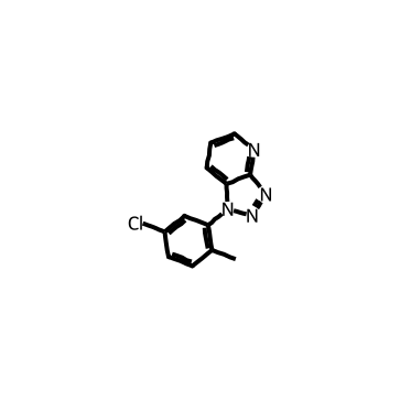 Cc1ccc(Cl)cc1-n1nnc2ncccc21